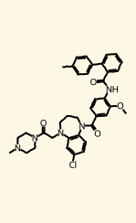 COc1cc(C(=O)N2CCCN(CC(=O)N3CCN(C)CC3)c3cc(Cl)ccc32)ccc1NC(=O)c1ccccc1-c1ccc(C)cc1